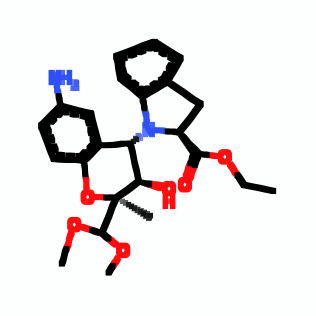 CCOC(=O)[C@@H]1Cc2ccccc2N1[C@H]1c2cc(N)ccc2O[C@](C)(C(OC)OC)[C@@H]1O